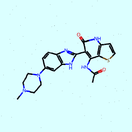 CC(=O)Nc1c(-c2nc3ccc(N4CCN(C)CC4)cc3[nH]2)c(=O)[nH]c2ccsc12